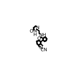 N#CN1Cc2cccc(-c3ccccc3C(=O)NCCc3nccc(=O)[nH]3)c2C1